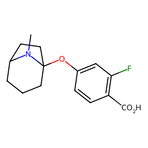 CN1C2CCCC1(Oc1ccc(C(=O)O)c(F)c1)CC2